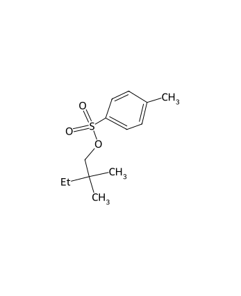 CCC(C)(C)COS(=O)(=O)c1ccc(C)cc1